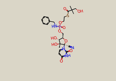 CC(C)(CO)C(=O)SCCOP(=O)(NCc1ccccc1)OC[C@H]1O[C@@](C#N)(n2ccc(=O)[nH]c2=O)[C@](C)(O)[C@@H]1O